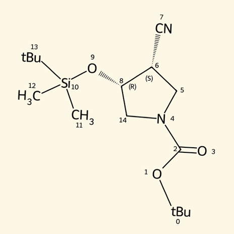 CC(C)(C)OC(=O)N1C[C@@H](C#N)[C@@H](O[Si](C)(C)C(C)(C)C)C1